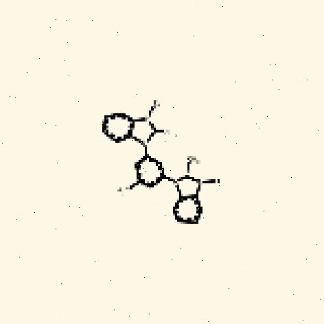 CCN1c2ccccc2N(c2cc(C)cc(N3c4ccccc4N(CC)[C@@H]3C)c2)[C@@H]1C